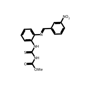 COC(=O)NC(=S)Nc1ccccc1N=Cc1cccc([N+](=O)[O-])c1